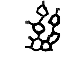 CN1Cc2cnc3ccc(-c4ccc(C#N)nc4)nc3c2N(c2ccc(N3CCNCC3)c(C(F)(F)F)c2)C1=O